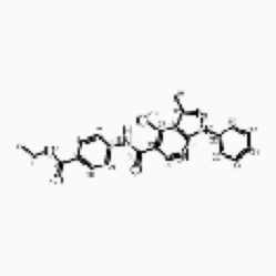 CCOC(=O)c1ccc(NC(=O)c2cnc3c(c(C)nn3-c3ccccc3)c2Cl)cc1